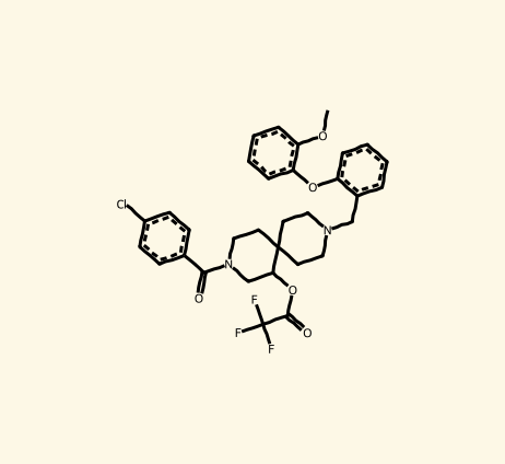 COc1ccccc1Oc1ccccc1CN1CCC2(CC1)CCN(C(=O)c1ccc(Cl)cc1)CC2OC(=O)C(F)(F)F